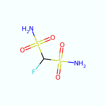 NS(=O)(=O)C(F)S(N)(=O)=O